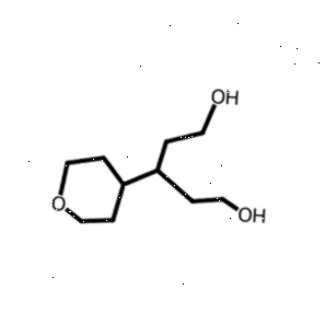 OCCC(CCO)C1CCOCC1